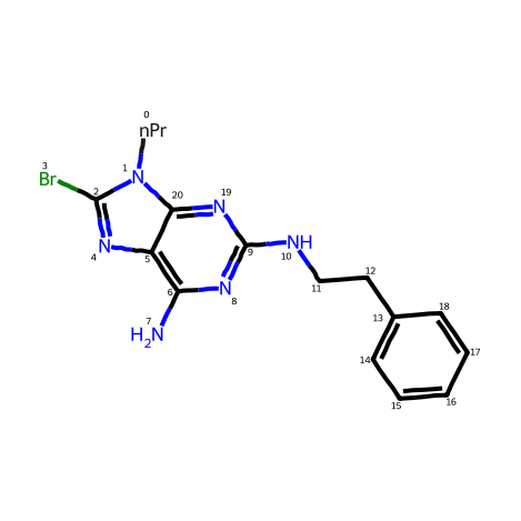 CCCn1c(Br)nc2c(N)nc(NCCc3ccccc3)nc21